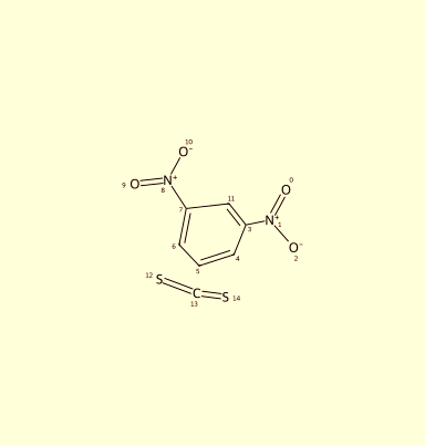 O=[N+]([O-])c1cccc([N+](=O)[O-])c1.S=C=S